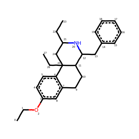 CCOc1ccc2c(c1)CCC1C(Cc3ccccc3)NC(CC)CC21CC